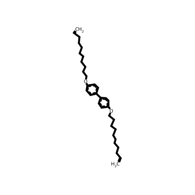 C=CCCCCCCCCCOc1ccc(-c2ccc(OCCCCCCCCCC=C)cc2)cc1